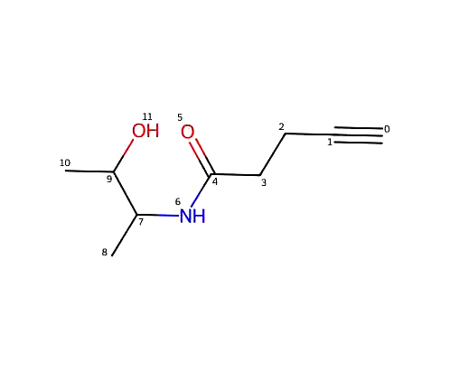 C#CCCC(=O)NC(C)C(C)O